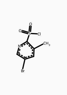 Cc1cc(Br)cnc1S(=O)(=O)Cl